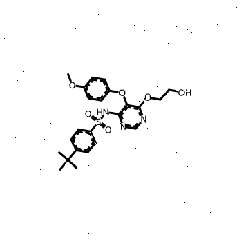 COc1ccc(Oc2c(NS(=O)(=O)c3ccc(C(C)(C)C)cc3)ncnc2OCCO)cc1